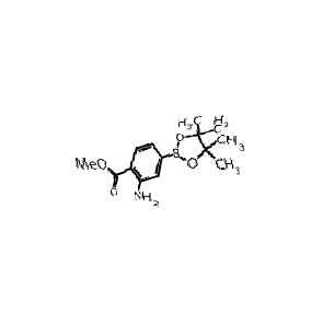 COC(=O)c1ccc(B2OC(C)(C)C(C)(C)O2)cc1N